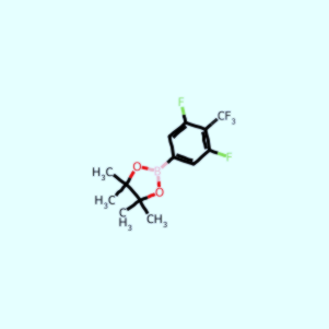 CC1(C)OB(c2cc(F)c(C(F)(F)F)c(F)c2)OC1(C)C